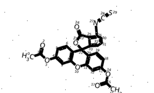 CC(=O)Oc1ccc2c(c1)Oc1cc(OC(C)=O)ccc1C21OC(=O)c2c(N=C=S)cccc21